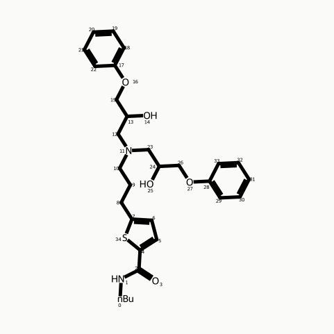 CCCCNC(=O)c1ccc(CCCN(CC(O)COc2ccccc2)CC(O)COc2ccccc2)s1